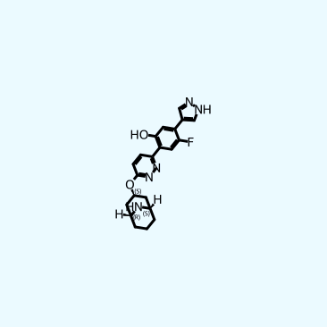 Oc1cc(-c2cn[nH]c2)c(F)cc1-c1ccc(O[C@@H]2C[C@H]3CCC[C@@H](C2)N3)nn1